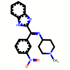 CN1CCC(N=C(c2cccc([N+](=O)[O-])c2)c2nc3ccccc3[nH]2)CC1